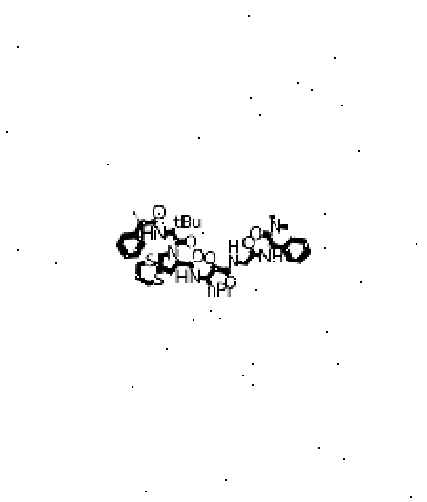 CCCC(NC(=O)C1CC2(CN1C(=O)[C@@H](NC(=O)[C@@H](C)c1ccccc1)C(C)(C)C)SCCCS2)C(=O)C(=O)NCC(=O)N[C@H](C(=O)N(C)C)c1ccccc1